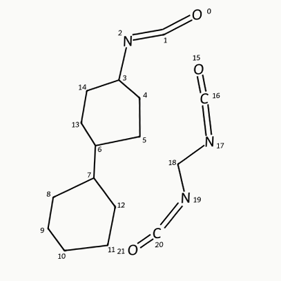 O=C=NC1CCC(C2CCCCC2)CC1.O=C=NCN=C=O